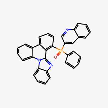 O=P(c1ccccc1)(c1cnc2ccccc2c1)c1cccc2c3ccccc3n3c4ccccc4nc3c12